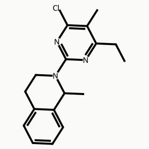 CCc1nc(N2CCc3ccccc3C2C)nc(Cl)c1C